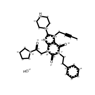 CC#CCn1c(N2CCNCC2)nc2c1c(=O)n(CCc1ccccc1)c(=O)n2CC(=O)N1CCCC1.Cl